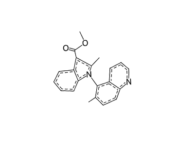 COC(=O)c1c(C)n(-c2c(C)ccc3ncccc23)c2ccccc12